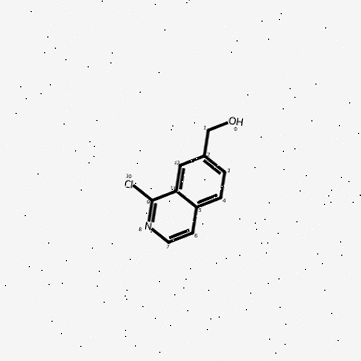 OCc1ccc2ccnc(Cl)c2c1